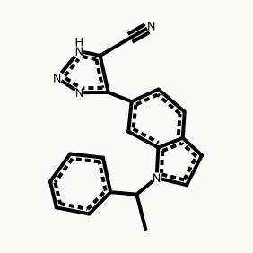 CC(c1ccccc1)n1ccc2ccc(-c3nn[nH]c3C#N)cc21